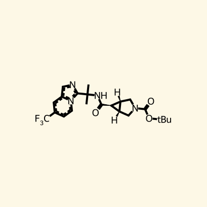 CC(C)(C)OC(=O)N1C[C@@H]2[C@H](C1)[C@H]2C(=O)NC(C)(C)c1ncc2cc(C(F)(F)F)ccn12